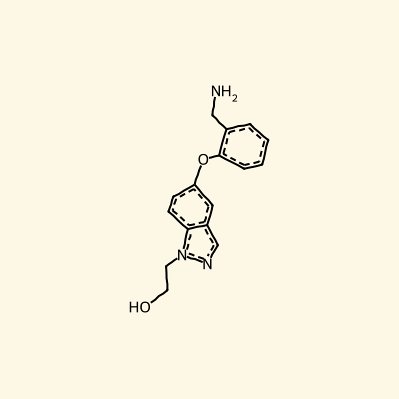 NCc1ccccc1Oc1ccc2c(cnn2CCO)c1